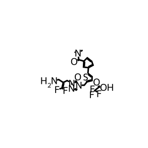 CN(C)C(=O)c1cccc(-c2ccc(Cn3cnn(CC(CN)=C(F)F)c3=O)s2)c1.O=C(O)C(F)(F)F